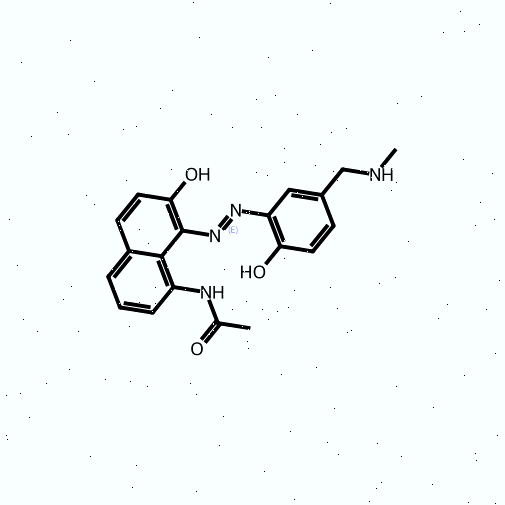 CNCc1ccc(O)c(/N=N/c2c(O)ccc3cccc(NC(C)=O)c23)c1